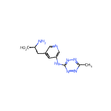 Cc1nnc(Nc2cncc(C[C@H](N)C(=O)O)c2)nn1